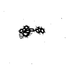 CC1(C)c2ccccc2-c2ccc(C3=CC4=C(CC3)C3(c5ccccc5C5C=CC=CC53)C3C=C(Br)C=CC43)cc21